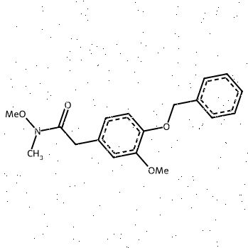 COc1cc(CC(=O)N(C)OC)ccc1OCc1ccccc1